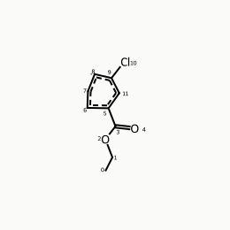 CCOC(=O)c1cc[c]c(Cl)c1